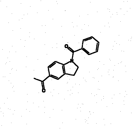 CC(=O)c1ccc2c(c1)CCN2C(=O)c1ccccc1